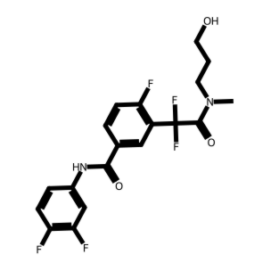 CN(CCCO)C(=O)C(F)(F)c1cc(C(=O)Nc2ccc(F)c(F)c2)ccc1F